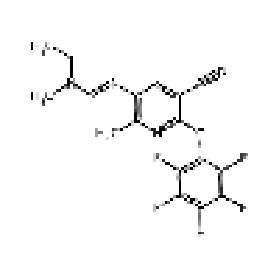 CCN(C)/C=N/c1cc(C#N)c(Oc2c(F)c(F)c(F)c(F)c2F)nc1C